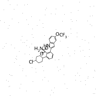 NS(=O)(=O)c1c(-c2cc3cc(OC(F)(F)F)ccc3[nH]2)cccc1C1CCC(Cl)CC1